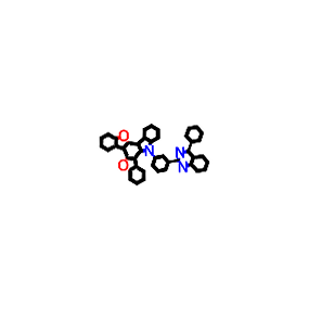 c1ccc(-c2nc(-c3cccc(-n4c5ccccc5c5c6oc7ccccc7c6c6oc7ccccc7c6c54)c3)nc3ccccc23)cc1